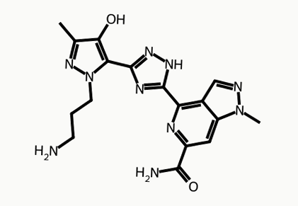 Cc1nn(CCCN)c(-c2n[nH]c(-c3nc(C(N)=O)cc4c3cnn4C)n2)c1O